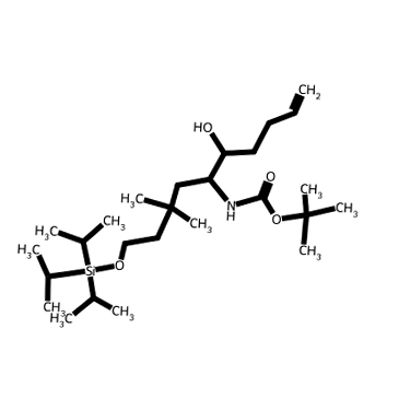 C=CCCC(O)C(CC(C)(C)CCO[Si](C(C)C)(C(C)C)C(C)C)NC(=O)OC(C)(C)C